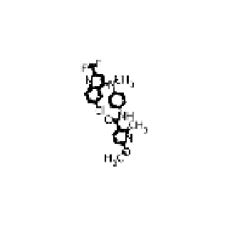 COc1ccc(C(=O)N[C@H]2CC[C@@H](N(C)c3cc(C(F)(F)F)nc4ccc(Cl)cc34)CC2)c(C)n1